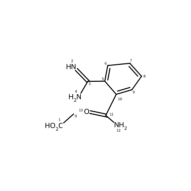 CC(=O)O.N=C(N)c1ccccc1C(N)=O